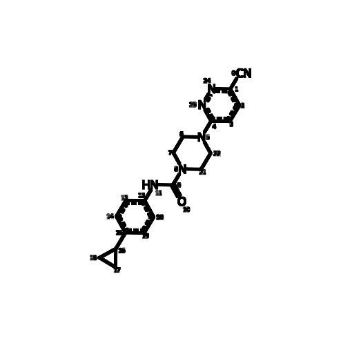 N#Cc1ccc(N2CCN(C(=O)Nc3ccc(C4CC4)cc3)CC2)nn1